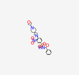 O=C(NS(=O)(=O)c1ccc(N2CC3(CCN(C4COC4)CC3)C2)c([N+](=O)[O-])c1)c1ccccc1